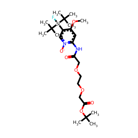 COc1cc(NC(=O)COCCOCC(=O)OC(C)(C)C)[n+]([O-])cc1[Si](F)(C(C)(C)C)C(C)(C)C